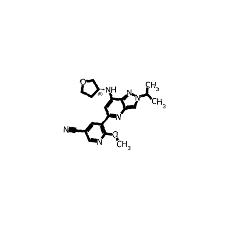 COc1ncc(C#N)cc1-c1cc(N[C@@H]2CCOC2)c2nn(C(C)C)cc2n1